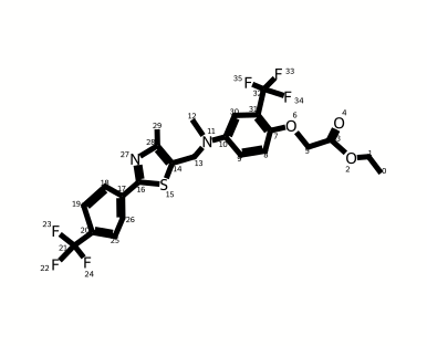 CCOC(=O)COc1ccc(N(C)Cc2sc(-c3ccc(C(F)(F)F)cc3)nc2C)cc1C(F)(F)F